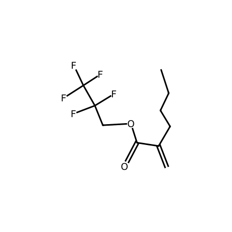 C=C(CCCC)C(=O)OCC(F)(F)C(F)(F)F